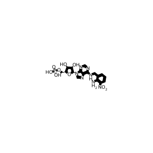 Nc1c(CNc2ncnc3c2ncn3[C@@H]2O[C@H](COP(=O)(O)O)[C@@H](O)[C@H]2O)cccc1[N+](=O)[O-]